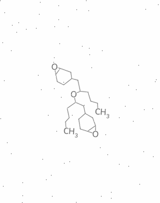 CCCCC(CC1CCC2OC2C1)OC(CCCC)CC1CCC2OC2C1